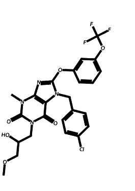 COCC(O)Cn1c(=O)c2c(nc(Oc3cccc(OC(F)(F)F)c3)n2Cc2ccc(Cl)cc2)n(C)c1=O